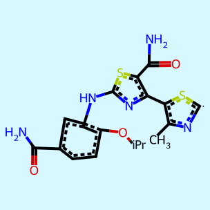 Cc1n[c]sc1-c1nc(Nc2cc(C(N)=O)ccc2OC(C)C)sc1C(N)=O